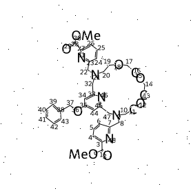 COC(=O)c1cccc(CN2CCOCCOCCOCCN(Cc3cccc(C(=O)OC)n3)Cc3cc(OCc4ccccc4)cc(n3)C2)n1